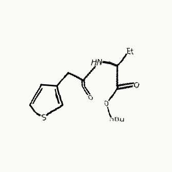 CCCCOC(=O)C(CC)NC(=O)Cc1ccsc1